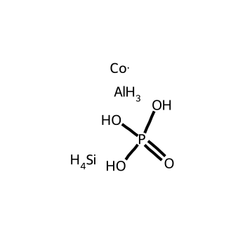 O=P(O)(O)O.[AlH3].[Co].[SiH4]